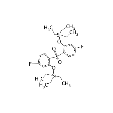 CC[Si](CC)(CC)Oc1cc(F)ccc1S(=O)(=O)c1ccc(F)cc1O[Si](CC)(CC)CC